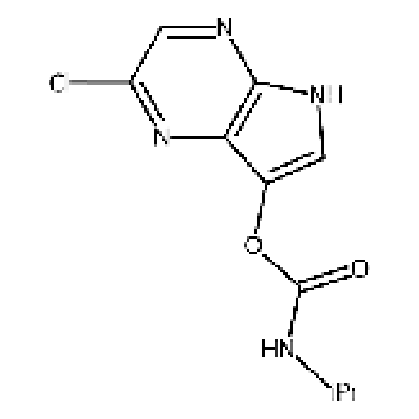 CC(C)NC(=O)Oc1c[nH]c2ncc(Cl)nc12